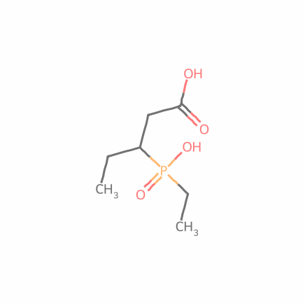 CCC(CC(=O)O)P(=O)(O)CC